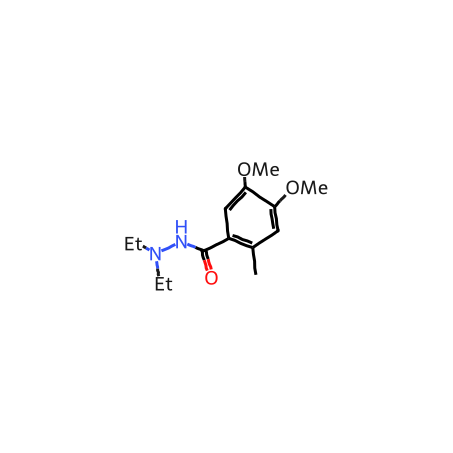 CCN(CC)NC(=O)c1cc(OC)c(OC)cc1C